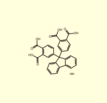 O=C(O)c1ccc(C2(c3ccc(C(=O)O)c(C(=O)O)c3)c3ccccc3-c3ccccc32)cc1C(=O)O.[HH]